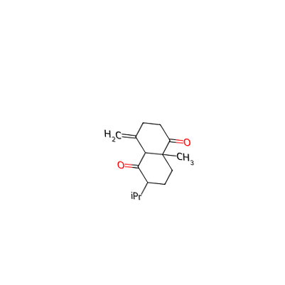 C=C1CCC(=O)C2(C)CCC(C(C)C)C(=O)C12